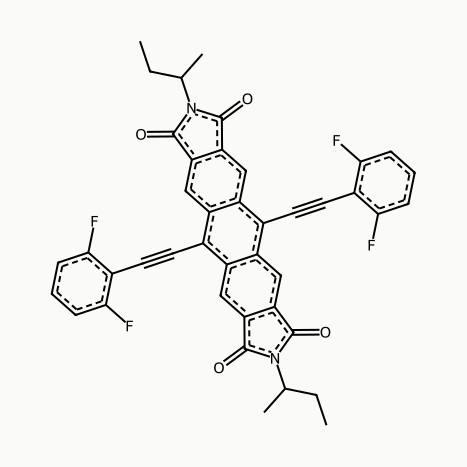 CCC(C)n1c(=O)c2cc3c(C#Cc4c(F)cccc4F)c4cc5c(=O)n(C(C)CC)c(=O)c5cc4c(C#Cc4c(F)cccc4F)c3cc2c1=O